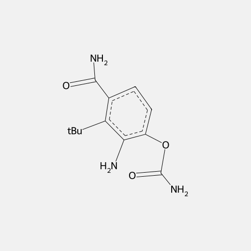 CC(C)(C)c1c(C(N)=O)ccc(OC(N)=O)c1N